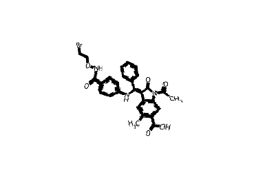 CC(=O)N1C(=O)C(=C(Nc2ccc(C(=O)NOCCBr)cc2)c2ccccc2)c2cc(C)c(C(=O)O)cc21